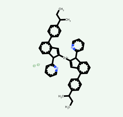 CCC(C)c1ccc(-c2cccc3c2C=[C]([Zr+2][C]2=Cc4c(-c5ccc(C(C)CC)cc5)cccc4C2c2ccccn2)C3c2ccccn2)cc1.[Cl-].[Cl-]